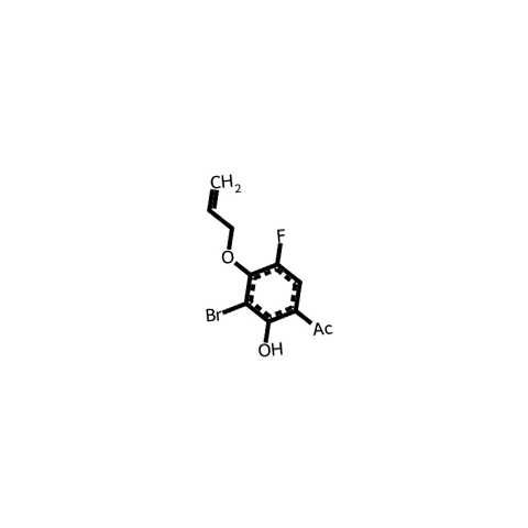 C=CCOc1c(F)cc(C(C)=O)c(O)c1Br